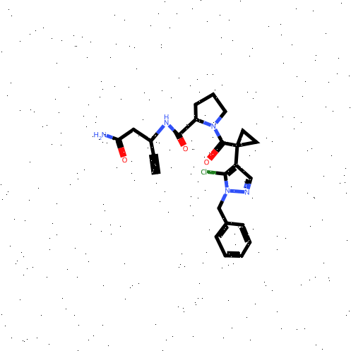 C#CC(CC(N)=O)NC(=O)C1CCCN1C(=O)C1(c2cnn(Cc3ccccc3)c2Cl)CC1